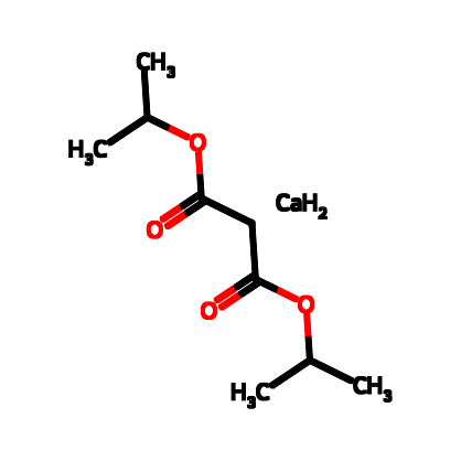 CC(C)OC(=O)CC(=O)OC(C)C.[CaH2]